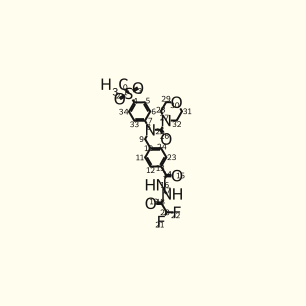 CS(=O)(=O)c1ccc(N(Cc2ccc(C(=O)NNC(=O)C(F)F)cc2)C(=O)N2CCOCC2)cc1